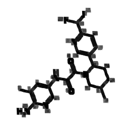 Cc1cc(NC(=O)C(=O)N2CC(C)CCC2c2ccc(C(F)F)nc2)cnc1N